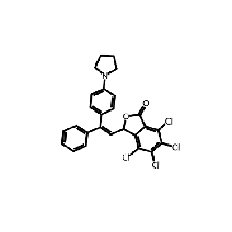 O=C1OC(C=C(c2ccccc2)c2ccc(N3CCCC3)cc2)c2c(Cl)c(Cl)c(Cl)c(Cl)c21